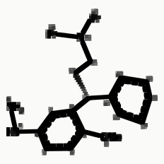 COc1ccc(BN)cc1[C@H](CCN(C(C)C)C(C)C)c1ccccc1